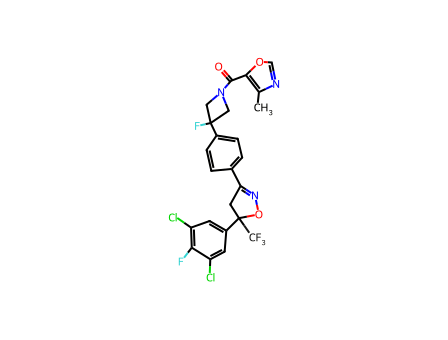 Cc1ncoc1C(=O)N1CC(F)(c2ccc(C3=NOC(c4cc(Cl)c(F)c(Cl)c4)(C(F)(F)F)C3)cc2)C1